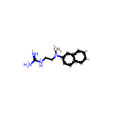 CN(CCNC(=N)N)c1ccc2ccccc2c1